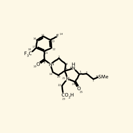 CSCCC1NC2(CCN(C(=O)c3cc(F)ccc3C(F)(F)F)CC2)N(CC(=O)O)C1=O